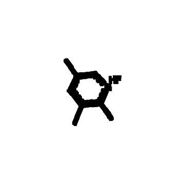 Cc1cnc(C)c(C)c1.F